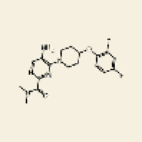 CN(C)C(=O)c1ncc(N)c(N2CCC(Oc3ccc(F)cc3F)CC2)n1